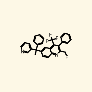 CC(c1ccccc1)(c1cccnc1)c1ccc2nc(CF)c(-c3ccccc3)c(C(F)(F)F)c2c1